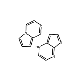 c1c[nH]c2ccnc-2n1.c1cc2cnccn2c1